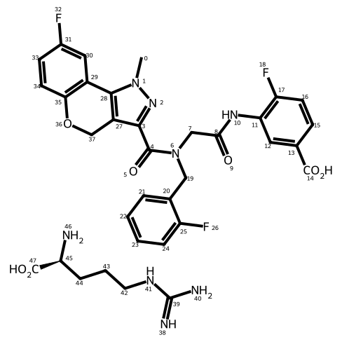 Cn1nc(C(=O)N(CC(=O)Nc2cc(C(=O)O)ccc2F)Cc2ccccc2F)c2c1-c1cc(F)ccc1OC2.N=C(N)NCCC[C@H](N)C(=O)O